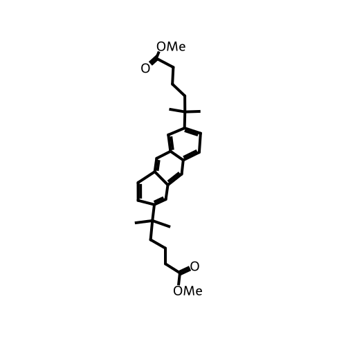 COC(=O)CCCC(C)(C)c1ccc2cc3cc(C(C)(C)CCCC(=O)OC)ccc3cc2c1